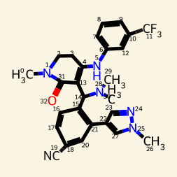 CN1CCC(Nc2cccc(C(F)(F)F)c2)=C(C(c2ccc(C#N)cc2-c2cnn(C)c2)N(C)C)C1=O